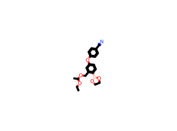 CCOC(C)OCc1cc(Oc2ccc(C#N)cc2)ccc1B1OCCO1